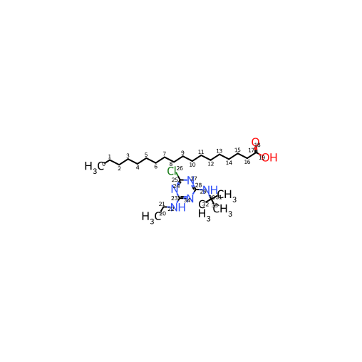 CCCCCCCCCCCCCCCCCC(=O)O.CCNc1nc(Cl)nc(NC(C)(C)C)n1